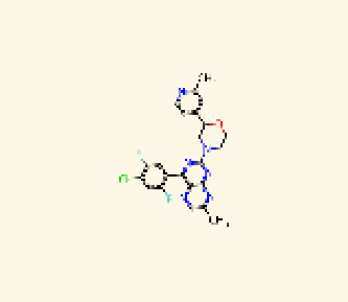 Cc1cc(C2CN(c3nc(-c4cc(F)c(Cl)cc4F)c4ncc(C)nc4n3)CCO2)ccn1